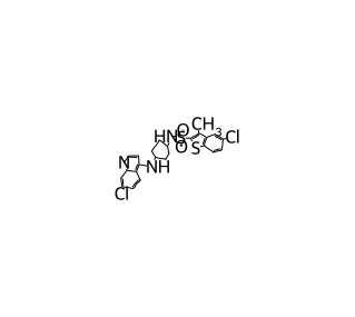 Cc1c(S(=O)(=O)NC2CCC(Nc3ccnc4cc(Cl)ccc34)CC2)sc2ccc(Cl)cc12